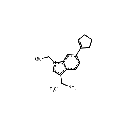 CC(C)(C)Cn1cc([C@H](N)C(F)(F)F)c2ccc(C3=CCCC3)cc21